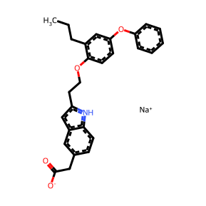 CCCc1cc(Oc2ccccc2)ccc1OCCc1cc2cc(CC(=O)[O-])ccc2[nH]1.[Na+]